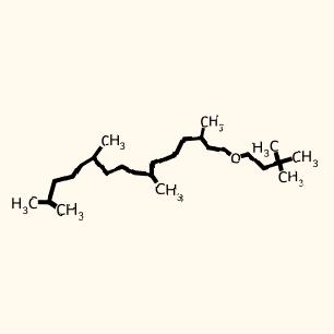 CC(C)CCCC(C)CCCC(C)CCCC(C)CCOCCC(C)(C)C